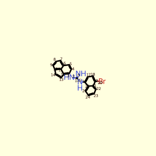 N=C(Nc1ccc2cccc3c2c1C=C3)Nc1ccc(Br)c2ccccc12